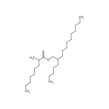 CCCCCCCCCCC(CCCCC)COC(=O)C(C)CCCCCCC